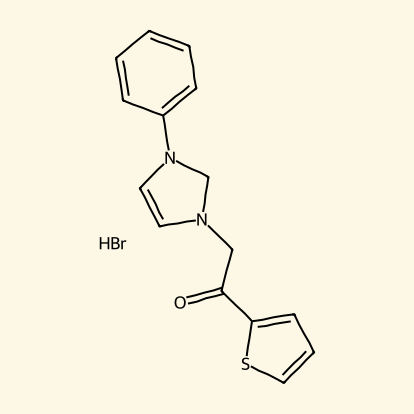 Br.O=C(CN1C=CN(c2ccccc2)C1)c1cccs1